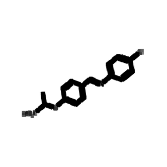 CCOC(=O)C(C)Oc1ccc(C=Nc2ccc(Cl)cc2)cc1